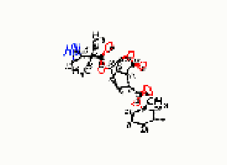 CC1(OC(=O)C2C3CC4C(OC(=O)C42)C3OC(=O)C(C)(C)C2CN2)CCCCC1